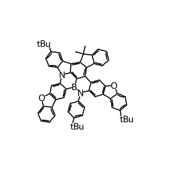 CC(C)(C)c1ccc(N2B3c4cc5c(cc4-n4c6ccc(C(C)(C)C)cc6c6c7c(c(c3c64)-c3cc4oc6ccc(C(C)(C)C)cc6c4cc32)-c2ccccc2C7(C)C)oc2ccccc25)cc1